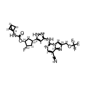 N#Cc1cnc(Nc2cc([C@H]3C[C@@H](F)[C@@H](OC(=O)NC45CC(C4)C5)C3)[nH]n2)n2cc(COC(F)(F)F)nc12